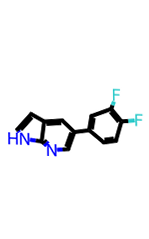 Fc1ccc(-c2cnc3[nH]ccc3c2)cc1F